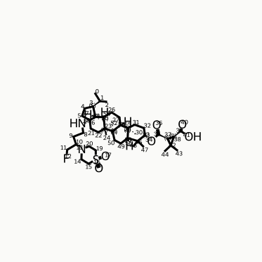 CC(C)[C@@H]1CC[C@]2(NCCC(CF)N3CCS(=O)(=O)CC3)CC[C@]3(C)[C@H](CC[C@@H]4[C@@]5(C)CC[C@H](OC(=O)[C@H]6[C@@H](C(=O)O)C6(C)C)C(C)(C)[C@@H]5CC[C@]43C)[C@@H]12